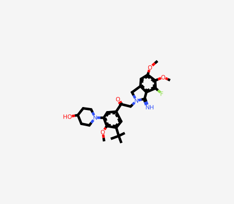 COc1cc2c(c(F)c1OC)C(=N)N(CC(=O)c1cc(N3CCC(O)CC3)c(OC)c(C(C)(C)C)c1)C2